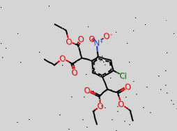 CCOC(=O)C(C(=O)OCC)c1cc(C(C(=O)OCC)C(=O)OCC)c([N+](=O)[O-])cc1Cl